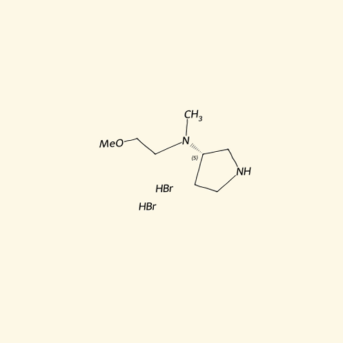 Br.Br.COCCN(C)[C@H]1CCNC1